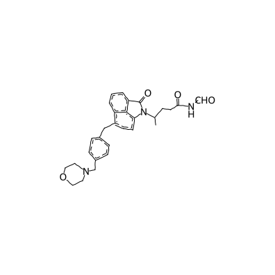 CC(CCC(=O)NC=O)N1C(=O)c2cccc3c(Cc4ccc(CN5CCOCC5)cc4)ccc1c23